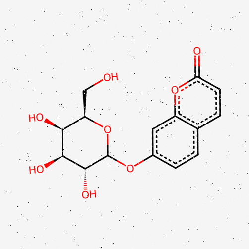 O=c1ccc2ccc(OC3O[C@H](CO)[C@H](O)[C@H](O)[C@H]3O)cc2o1